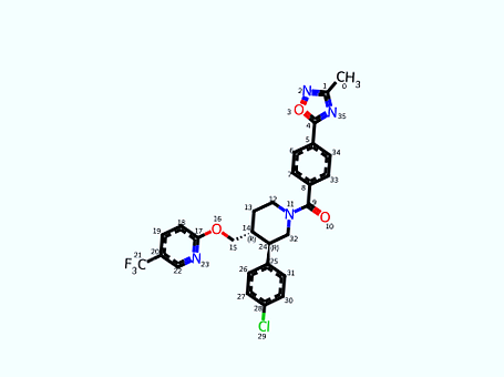 Cc1noc(-c2ccc(C(=O)N3CC[C@@H](COc4ccc(C(F)(F)F)cn4)[C@H](c4ccc(Cl)cc4)C3)cc2)n1